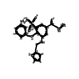 CCNC(=S)c1cc(NCc2ccco2)c(Oc2ccccc2)c(S(N)(=O)=O)c1